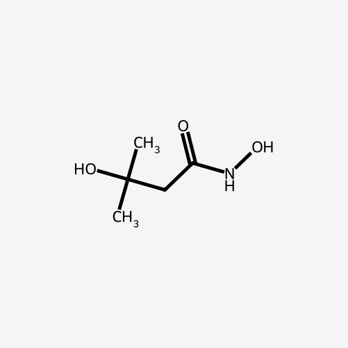 CC(C)(O)CC(=O)NO